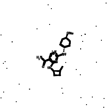 CO[C@H]1CC[C@H](Nc2ncc(C(N)=O)c(NC3CCC3C)n2)CC1